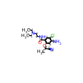 CCN(CC)CCNC(=O)c1cc(Cl)c(N)cc1OC(C)C#N